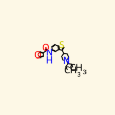 CCC(CC)N1CCC(c2csc3ccc(NC(=O)c4ccoc4)cc23)CC1